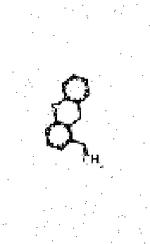 C=Cc1cccc2c1Cc1ccccc1S2